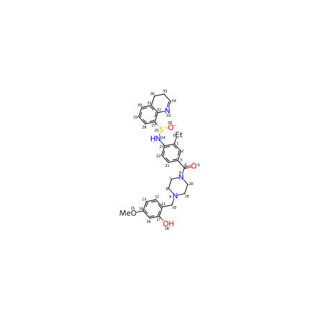 CCc1cc(C(=O)N2CCN(Cc3ccc(OC)cc3O)CC2)ccc1N[S+]([O-])c1cccc2c1N=CCC2